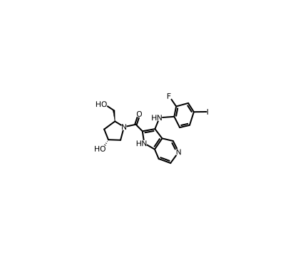 O=C(c1[nH]c2ccncc2c1Nc1ccc(I)cc1F)N1C[C@H](O)C[C@H]1CO